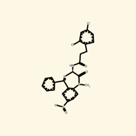 CN1C(=O)[C@H](NC(=O)CCc2ccc(Cl)cc2Cl)N=C(c2ccccc2)c2cc([N+](=O)[O-])ccc21